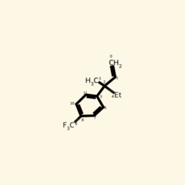 C=CC(C)(CC)c1ccc(C(F)(F)F)cc1